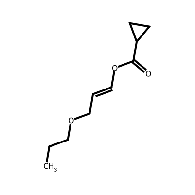 CCCOCC=COC(=O)C1CC1